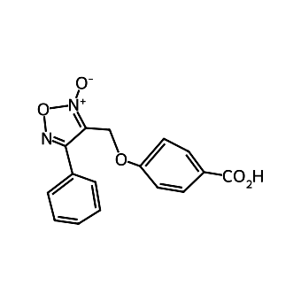 O=C(O)c1ccc(OCc2c(-c3ccccc3)no[n+]2[O-])cc1